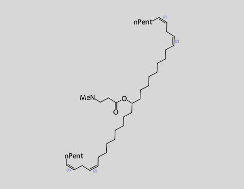 CCCCC/C=C\C/C=C\CCCCCCCCC(CCCCCCCC/C=C\C/C=C\CCCCC)OC(=O)CCNC